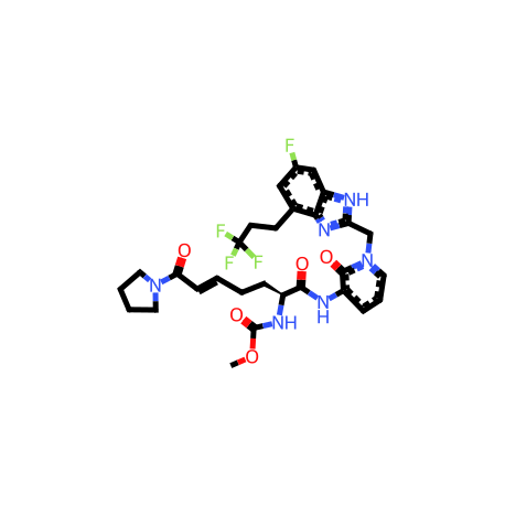 COC(=O)N[C@@H](CC/C=C/C(=O)N1CCCC1)C(=O)Nc1cccn(Cc2nc3c(CCC(F)(F)F)cc(F)cc3[nH]2)c1=O